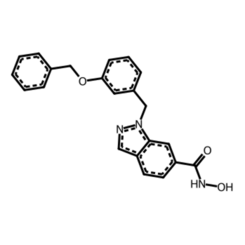 O=C(NO)c1ccc2cnn(Cc3cccc(OCc4ccccc4)c3)c2c1